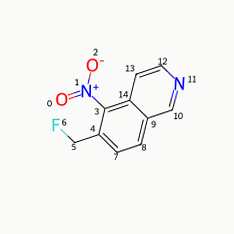 O=[N+]([O-])c1c(CF)ccc2cnccc12